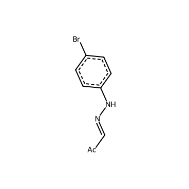 CC(=O)/C=N/Nc1ccc(Br)cc1